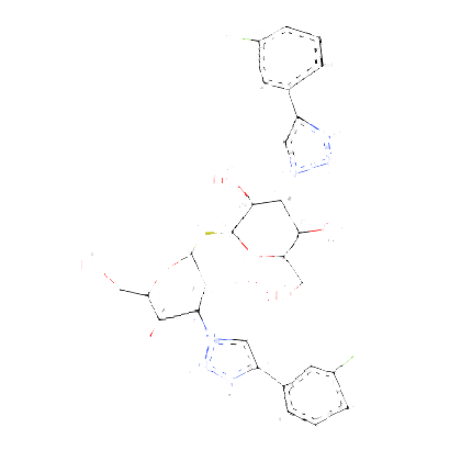 OCC1O[C@@H](SC2OC(CO)[C@H](O)C(n3cc(-c4cccc(F)c4)nn3)[C@H]2O)C(O)[C@H](n2cc(-c3cccc(F)c3)nn2)C1O